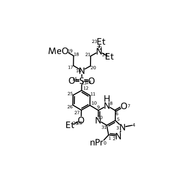 CCCc1nn(C)c2c(=O)[nH]c(-c3cc(S(=O)(=O)N(CCOC)CCN(CC)CC)ccc3OCC)nc12